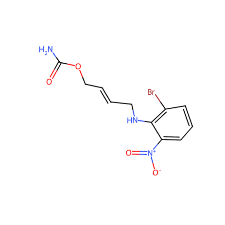 NC(=O)OC/C=C/CNc1c(Br)cccc1[N+](=O)[O-]